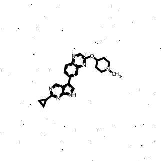 CN1CCC(Oc2cnc3ccc(-c4c[nH]c5nc(C6CC6)ncc45)cc3n2)CC1